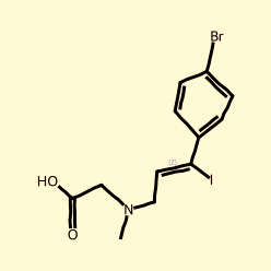 CN(C/C=C(\I)c1ccc(Br)cc1)CC(=O)O